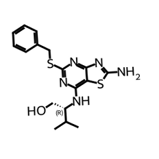 CC(C)[C@H](CO)Nc1nc(SCc2ccccc2)nc2nc(N)sc12